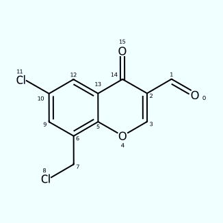 O=Cc1coc2c(CCl)cc(Cl)cc2c1=O